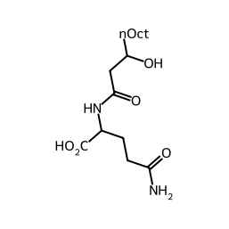 CCCCCCCCC(O)CC(=O)NC(CCC(N)=O)C(=O)O